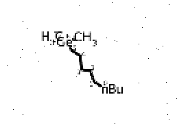 CCCCCCCC[CH2][Ge]([CH3])[CH3]